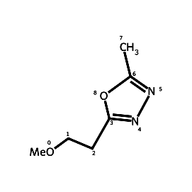 COCCc1nnc(C)o1